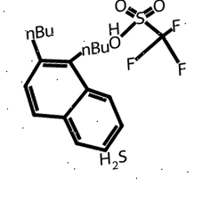 CCCCc1ccc2ccccc2c1CCCC.O=S(=O)(O)C(F)(F)F.S